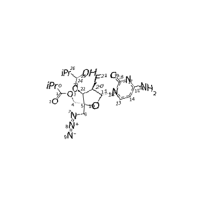 CC(C)C(=O)OC[C@@]1(CN=[N+]=[N-])O[C@@H](n2ccc(N)nc2=O)[C@H](F)[C@@H]1OC(O)C(C)C